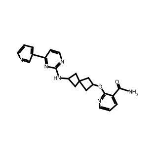 NC(=O)c1cccnc1OC1CC2(CC(Nc3nccc(-c4cccnc4)n3)C2)C1